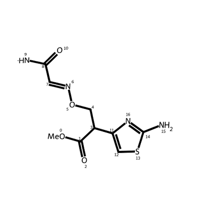 COC(=O)C(CO/N=C/C([NH])=O)c1csc(N)n1